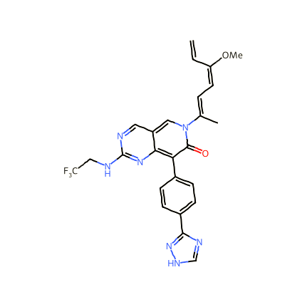 C=C/C(=C\C=C(/C)n1cc2cnc(NCC(F)(F)F)nc2c(-c2ccc(-c3nc[nH]n3)cc2)c1=O)OC